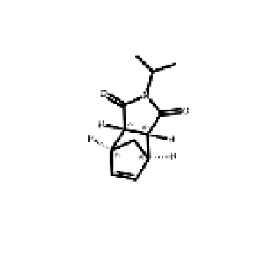 CC(C)N1C(=O)[C@@H]2[C@H](C1=O)[C@H]1C=C[C@@H]2C1